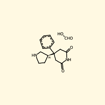 O=C1CC(c2ccccc2)([C@H]2CCNC2)CC(=O)N1.O=CO